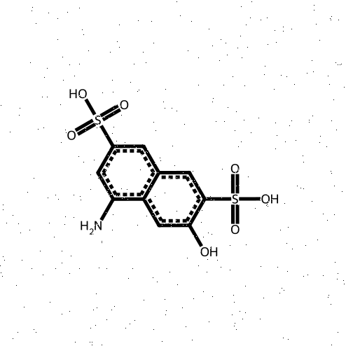 Nc1cc(S(=O)(=O)O)cc2cc(S(=O)(=O)O)c(O)cc12